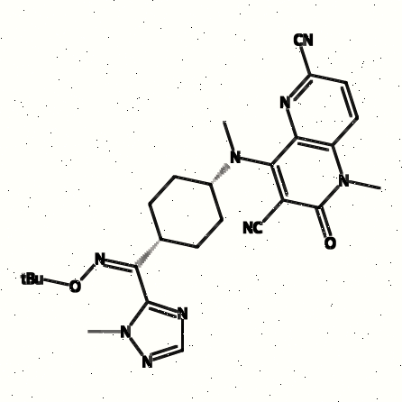 Cn1ncnc1/C(=N\OC(C)(C)C)[C@H]1CC[C@@H](N(C)c2c(C#N)c(=O)n(C)c3ccc(C#N)nc23)CC1